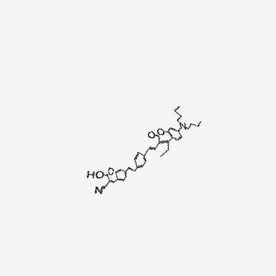 CCCCN(CCCC)c1ccc2c(CC)c(/C=C/c3ccc(/C=C/c4ccc(C=C(C#N)C(=O)O)cc4)cc3)c(=O)oc2c1